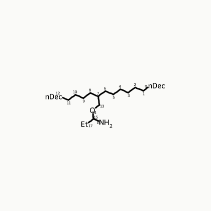 CCCCCCCCCCCCCCCCC(CCCCCCCCCCCCCC)COC(N)CC